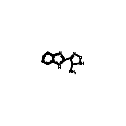 NC1NON=C1c1nc2ccccc2[nH]1